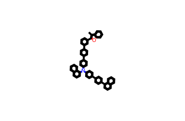 Cc1c(-c2cccc(-c3ccc(-c4ccc(N(c5ccc(-c6ccc(-c7cccc8ccccc78)cc6)cc5)c5cccc6ccccc56)cc4)cc3)c2)oc2ccccc12